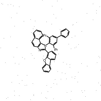 CC(C)c1cc(-c2ccccc2)cc(C(C)C)c1-n1c(-c2cccc3c2oc2ccccc23)nc2ccc3ccccc3c21